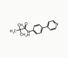 CC(C)(C)C(=O)Nc1ccc(-c2ccncc2)cc1